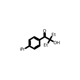 CCC(O)(CC)C(=O)c1ccc(C(C)C)cc1